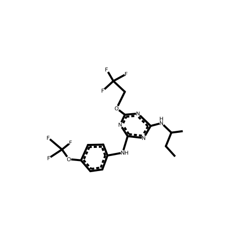 CCC(C)Nc1nc(Nc2ccc(OC(F)(F)F)cc2)nc(OCC(F)(F)F)n1